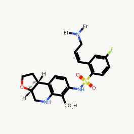 CCN(CC)C/C=C\c1cc(F)ccc1S(=O)(=O)Nc1ccc2c(c1C(=O)O)NC[C@@H]1OCC[C@H]21